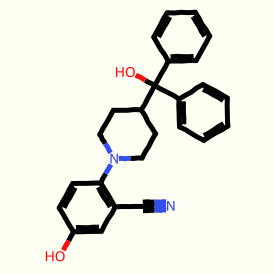 N#Cc1cc(O)ccc1N1CCC(C(O)(c2ccccc2)c2ccccc2)CC1